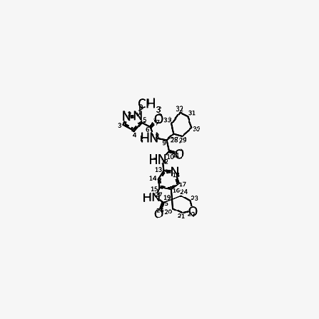 Cn1nccc1C(=O)NC(C(=O)Nc1cc2c(cn1)C1(CCOCC1)C(=O)N2)C1CCCCC1